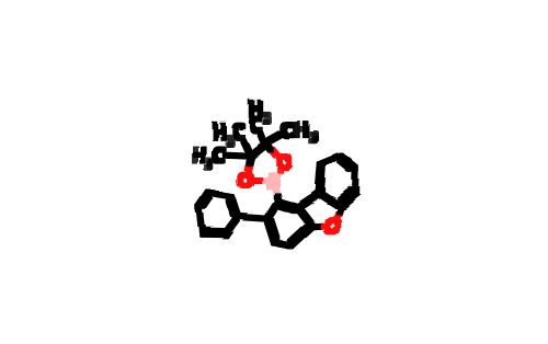 CC1(C)OB(c2c(-c3ccccc3)ccc3oc4ccccc4c23)OC1(C)C